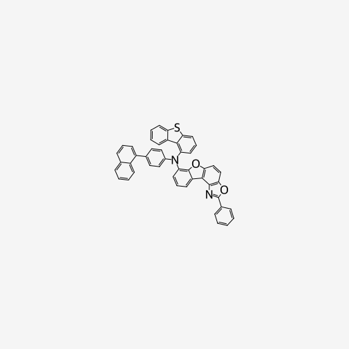 c1ccc(-c2nc3c(ccc4oc5c(N(c6ccc(-c7cccc8ccccc78)cc6)c6cccc7sc8ccccc8c67)cccc5c43)o2)cc1